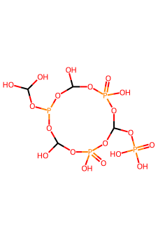 O=P(O)(O)OC1OP(=O)(O)OC(O)OP(OC(O)O)OC(O)OP(=O)(O)O1